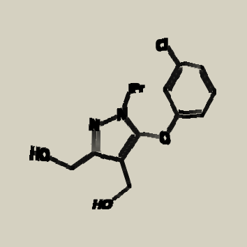 CC(C)n1nc(CO)c(CO)c1Oc1cccc(Cl)c1